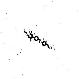 C=C/C=C(\C(F)=C/COCCI)C1CCC(COc2ccc(CCC)c(F)c2F)CC1